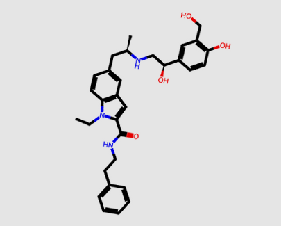 CCn1c(C(=O)NCCc2ccccc2)cc2cc(C[C@@H](C)NC[C@H](O)c3ccc(O)c(CO)c3)ccc21